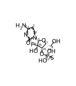 Nc1ccn([C@@H]2O[C@H](CO)[C@@H](OP(O)(O)=S)[C@]2(O)F)c(=O)n1